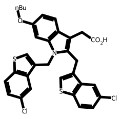 CCCCOc1ccc2c(CC(=O)O)c(Cc3csc4ccc(Cl)cc34)n(Cc3csc4ccc(Cl)cc34)c2c1